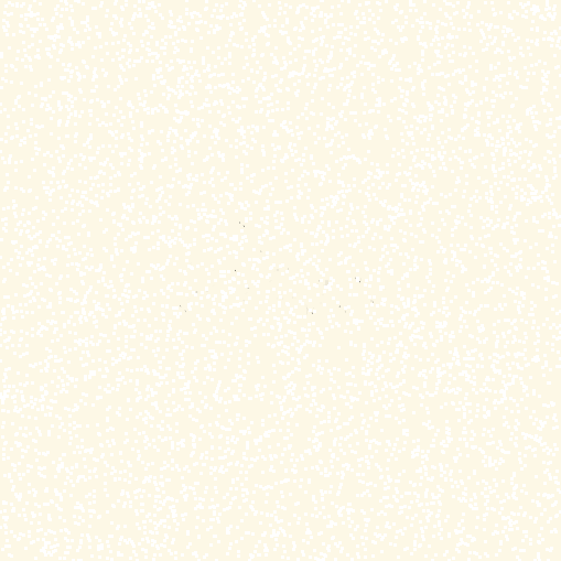 CN1CCN(c2cc3[nH]c(Nc4nccn4C4CCCC4)nc3cc2C(=O)Nc2ccc3scnc3c2)CC1